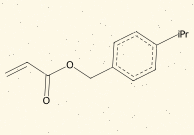 C=CC(=O)OCc1ccc(C(C)C)cc1